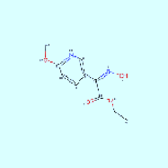 CCOC(=O)C(=NO)c1ccc(OC)nc1